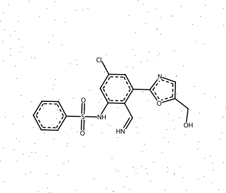 N=Cc1c(NS(=O)(=O)c2ccccc2)cc(Cl)cc1-c1ncc(CO)o1